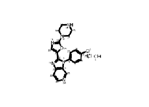 Cl.Cl.Clc1ccc(-n2c(-c3cnc(N4CCNCC4)o3)nc3ccncc32)cc1